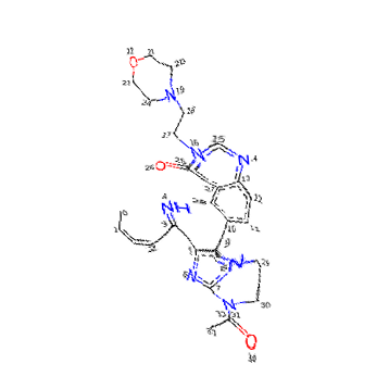 C/C=C\C(=N)c1nc2n(c1-c1ccc3ncn(CCN4CCOCC4)c(=O)c3c1)CCN2C(C)=O